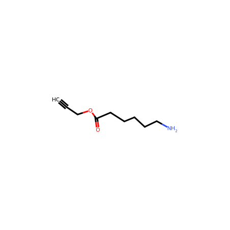 C#CCOC(=O)CCCCCN